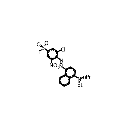 CCCN(CC)c1ccc(N=Nc2c(Cl)cc(S(=O)(=O)F)cc2[N+](=O)[O-])c2ccccc12